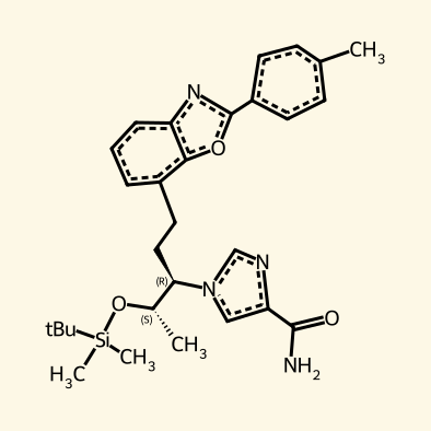 Cc1ccc(-c2nc3cccc(CC[C@H]([C@H](C)O[Si](C)(C)C(C)(C)C)n4cnc(C(N)=O)c4)c3o2)cc1